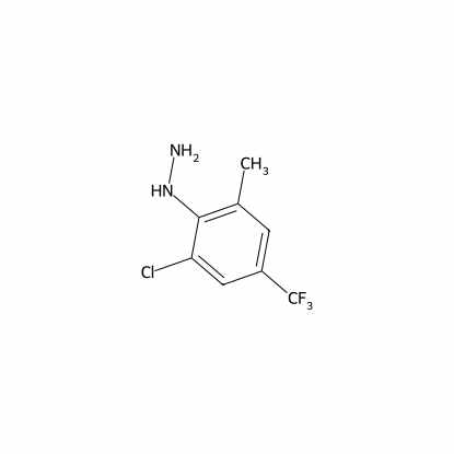 Cc1cc(C(F)(F)F)cc(Cl)c1NN